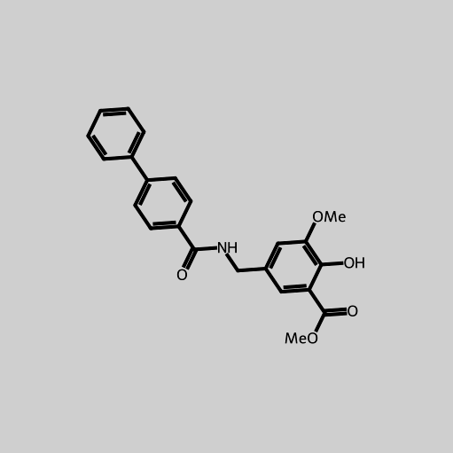 COC(=O)c1cc(CNC(=O)c2ccc(-c3ccccc3)cc2)cc(OC)c1O